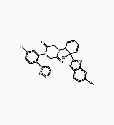 CCC1(c2nc3ccc(C(C)=O)cc3[nH]2)C=CC=CC1N1CC(=O)N(c2cc(Cl)ccc2-n2cnnn2)CC1=O